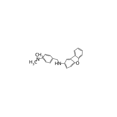 CN(C)c1ccc(CNc2ccc3oc4ccccc4c3c2)cc1